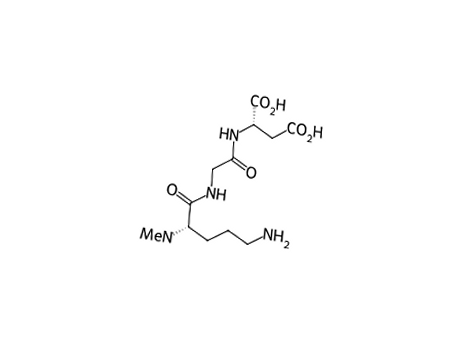 CN[C@@H](CCCN)C(=O)NCC(=O)N[C@@H](CC(=O)O)C(=O)O